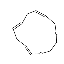 [CH]1CC/C=C\C/C=C/C/C=C/CC1